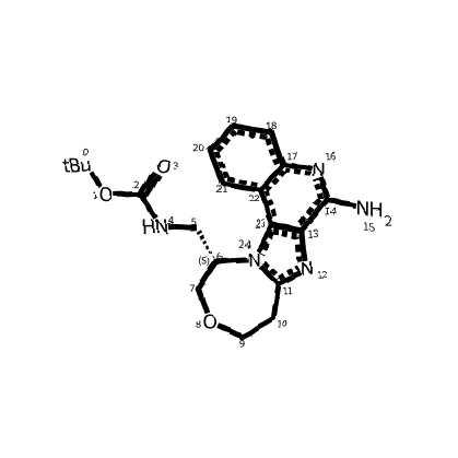 CC(C)(C)OC(=O)NC[C@H]1COCCc2nc3c(N)nc4ccccc4c3n21